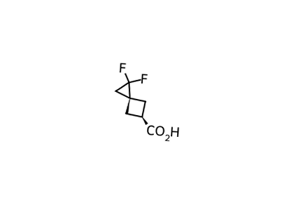 O=C(O)[C@H]1C[C@]2(CC2(F)F)C1